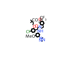 COc1cc(NC(C(=O)N2CCc3ccc(OC(F)(F)F)cc32)c2ccc(Cl)cc2OCCC(C)(C)C(=O)O)cc(-n2cncn2)c1